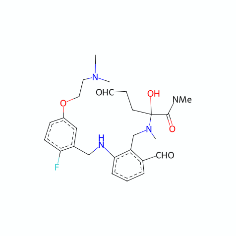 CNC(=O)C(O)(CCC=O)N(C)Cc1c(C=O)cccc1NCc1cc(OCCN(C)C)ccc1F